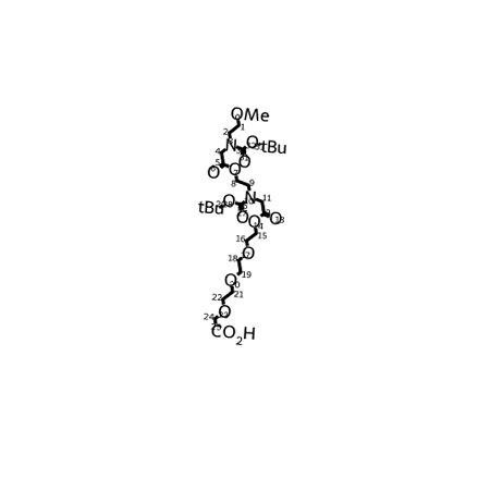 COCCN(CC(=O)OCCN(CC(=O)OCCOCCOCCOCC(=O)O)C(=O)OC(C)(C)C)C(=O)OC(C)(C)C